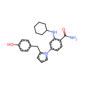 NC(=O)c1ccc(-n2cccc2Cc2ccc(O)cc2)cc1NC1CCCCC1